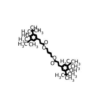 CC(C)(C)c1cc(CCC(=O)OCC=CCOC(=O)CCc2cc(C(C)(C)C)c(O)c(C(C)(C)C)c2)cc(C(C)(C)C)c1O